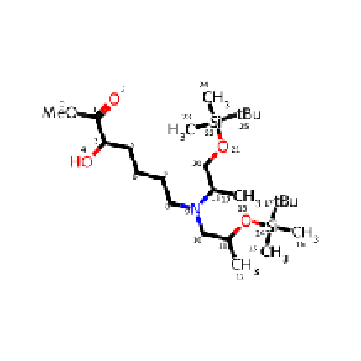 COC(=O)C(O)CCCCN(CC(C)O[Si](C)(C)C(C)(C)C)C(C)CO[Si](C)(C)C(C)(C)C